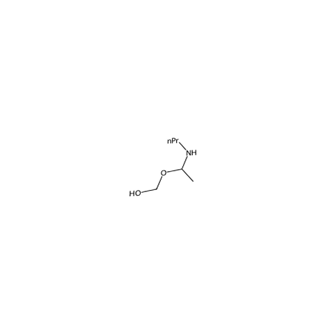 CCCNC(C)OCO